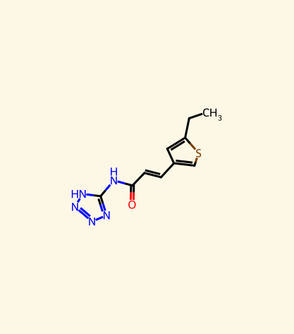 CCc1cc(C=CC(=O)Nc2nnn[nH]2)cs1